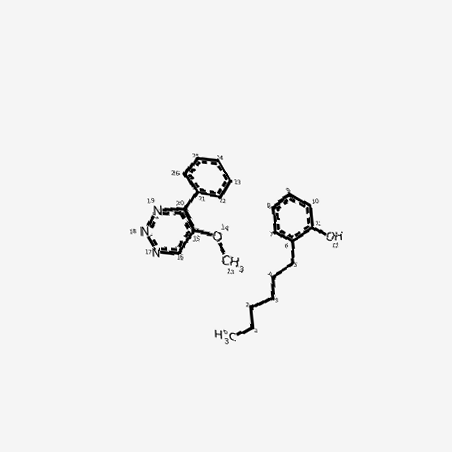 CCCCCCc1ccccc1O.COc1cnnnc1-c1ccccc1